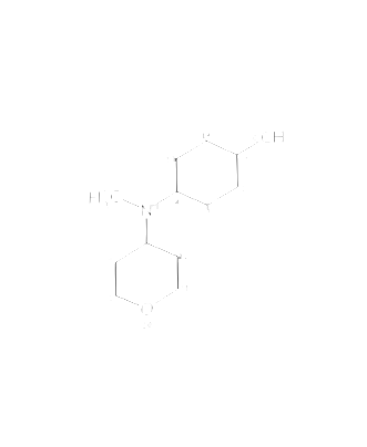 CC1CCC(N(C)C2CCOCC2)CC1